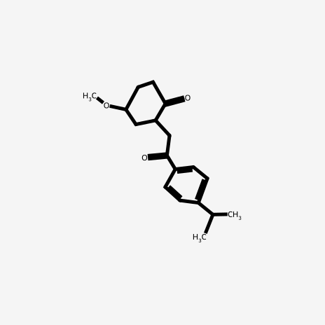 COC1CCC(=O)C(CC(=O)c2ccc(C(C)C)cc2)C1